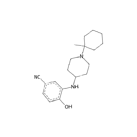 CC1(N2CCC(Nc3cc(C#N)ccc3O)CC2)CCCCC1